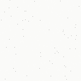 C=Cc1ccc(C)cc1/C=C\C